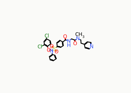 CN(CCc1ccncc1)C(=O)CNC(=O)c1ccc(S(=O)(=O)N(Oc2ccc(Cl)cc2Cl)c2ccccc2)cc1